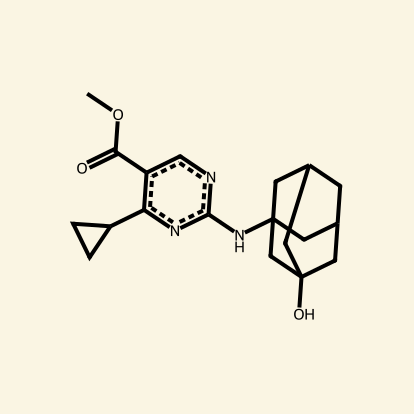 COC(=O)c1cnc(NC23CC4CC(CC(O)(C4)C2)C3)nc1C1CC1